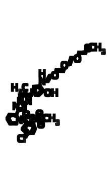 COCCOCCOCCOCCN[C@@H]1CN(c2nc3cc([C@@H]4CCCCN4C(=O)c4cc(Cl)ccc4NS(C)(=O)=O)nn3cc2C)C[C@@H]1O